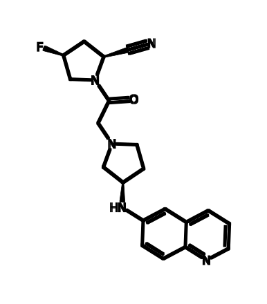 N#C[C@@H]1C[C@H](F)CN1C(=O)CN1CC[C@@H](Nc2ccc3ncccc3c2)C1